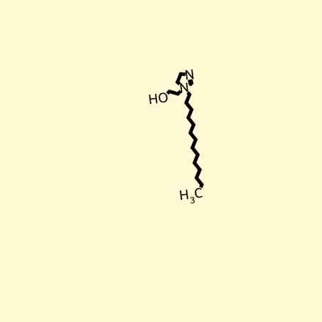 CCCCCCCCCCCCCC[N+]1(CCO)C=NCC1